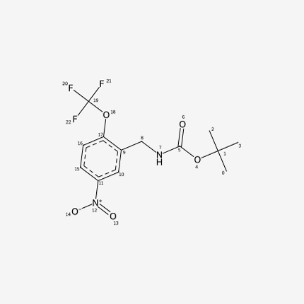 CC(C)(C)OC(=O)NCc1cc([N+](=O)[O-])ccc1OC(F)(F)F